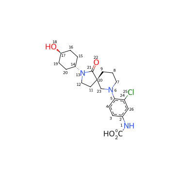 O=C(O)Nc1ccc(N2CCC[C@]3(CCN([C@H]4CC[C@H](O)CC4)C3=O)C2)c(Cl)c1